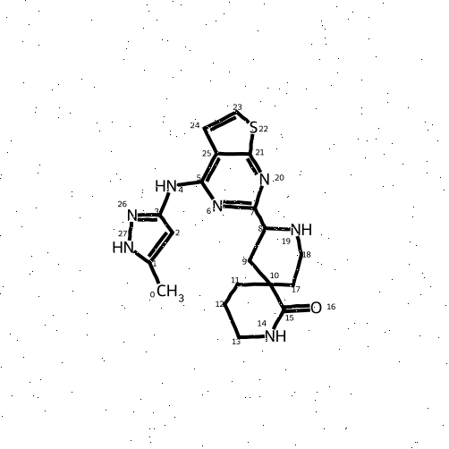 Cc1cc(Nc2nc(C3CC4(CCCNC4=O)CCN3)nc3sccc23)n[nH]1